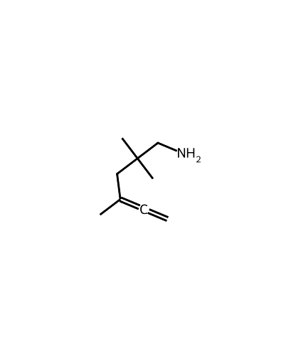 C=C=C(C)CC(C)(C)CN